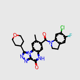 Cc1cc2c(cc1C(=O)N1CCc3cc(F)c(Cl)cc31)[nH]c(=O)c1nnc(C3CCOCC3)n12